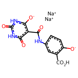 O=C(O)c1cc(NC(=O)c2c([O-])[nH]c(=O)[nH]c2=O)ccc1[O-].[Na+].[Na+]